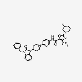 CC1CCCN(c2nc(C(F)(F)F)c(C(=O)Nc3ccc(N4CCC(n5c(=O)n(Cc6ccccc6)c6ccccc65)CC4)nc3)o2)C1